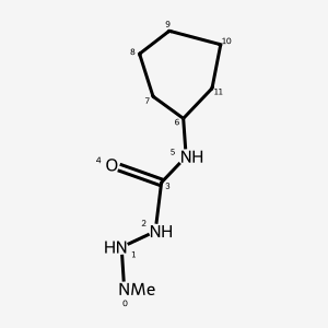 CNNNC(=O)NC1CCCCC1